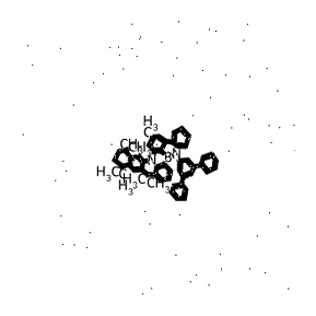 Cc1cc2c3c(c1)N1c4cc5c(cc4C(C)(C)c4cccc(c41)B3N(c1cc(-c3ccccc3)cc(-c3ccccc3)c1)c1ccccc1-2)C(C)(C)CCC5(C)C